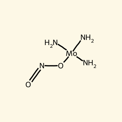 [NH2][Mo]([NH2])([NH2])[O]N=O